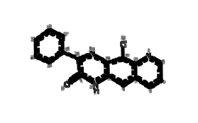 O=c1[nH]c2cc3cccnc3c(Cl)c2nc1-c1ccccc1